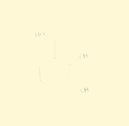 CC1CCCC(CO)C1C